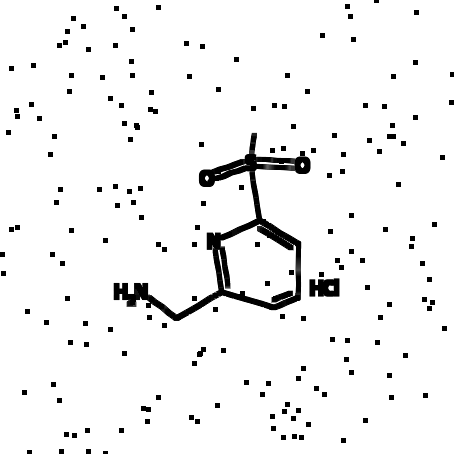 CS(=O)(=O)c1cccc(CN)n1.Cl